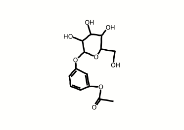 CC(=O)Oc1cccc(OC2OC(CO)C(O)C(O)C2O)c1